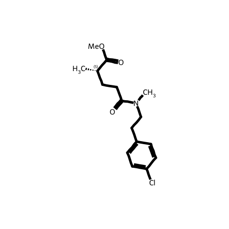 COC(=O)[C@@H](C)CCC(=O)N(C)CCc1ccc(Cl)cc1